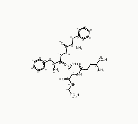 N[C@@H](CCC(=O)N[C@@H](CS)C(=O)NCC(=O)O)C(=O)O.N[C@@H](Cc1ccccc1)C(=O)SSC(=O)[C@@H](N)Cc1ccccc1